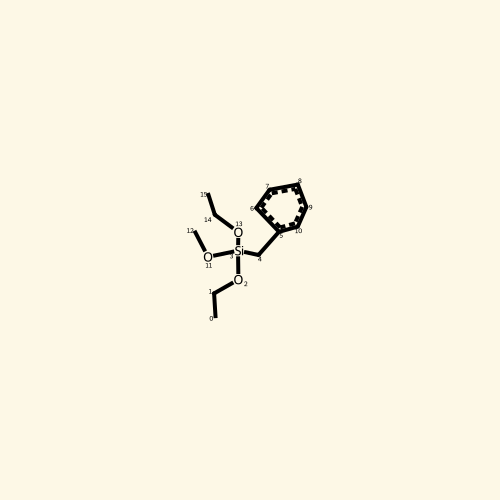 CCO[Si](Cc1ccccc1)(OC)OCC